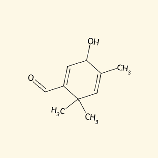 CC1=CC(C)(C)C(C=O)=CC1O